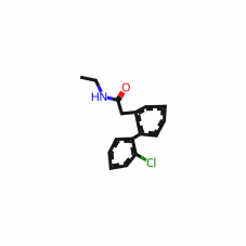 CCNC(=O)Cc1ccccc1-c1ccccc1Cl